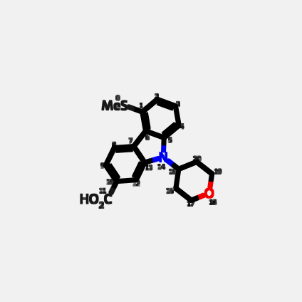 CSc1cccc2c1c1ccc(C(=O)O)cc1n2C1CCOCC1